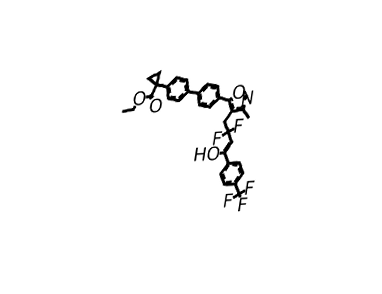 CCOC(=O)C1(c2ccc(-c3ccc(-c4onc(C)c4CC(F)(F)/C=C(\O)c4ccc(C(F)(F)F)cc4)cc3)cc2)CC1